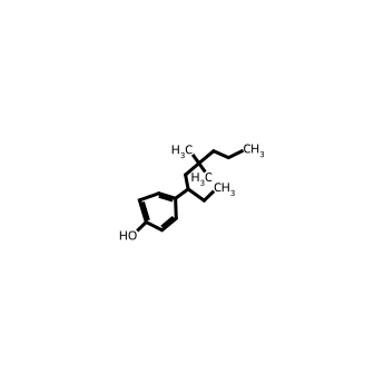 CCCC(C)(C)CC(CC)c1ccc(O)cc1